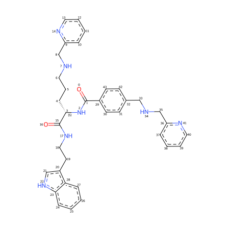 O=C(N[C@@H](CCCNCc1ccccn1)C(=O)NCCc1c[nH]c2ccccc12)c1ccc(CNCc2ccccn2)cc1